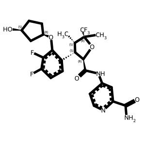 C[C@H]1[C@@H](c2ccc(F)c(F)c2O[C@@H]2CC[C@H](O)C2)[C@H](C(=O)Nc2ccnc(C(N)=O)c2)O[C@@]1(C)C(F)(F)F